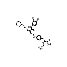 CCOC(Cc1ccc(OCCN(CCCCC2CCCCC2)C(=O)Nc2ccc(F)c(F)c2)cc1)C(=O)O